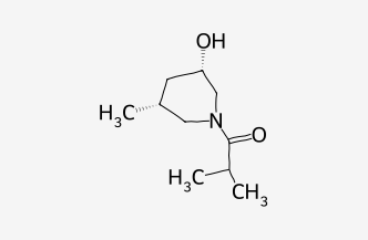 CC(C)C(=O)N1C[C@H](C)C[C@H](O)C1